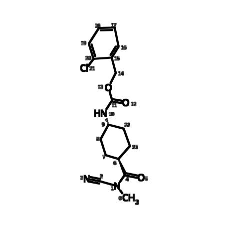 CN(C#N)C(=O)[C@H]1CC[C@H](NC(=O)OCc2ccccc2Cl)CC1